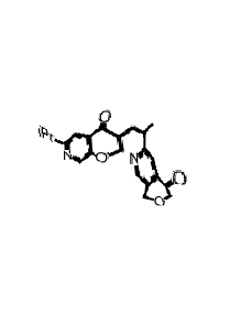 CC(C)c1cc2c(cn1)OCC(CC(C)c1cc3c(cn1)COCC3=O)C2=O